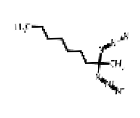 CCCCCCCC(C)(N=[N+]=[N-])N=[N+]=[N-]